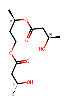 C[C@H](CCOC(=O)C[C@@H](C)O)OC(=O)C[C@@H](C)O